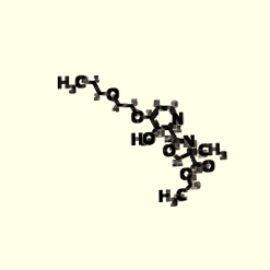 CCCOCCOc1ccnc(C2=N[C@@](C)(C(=O)OCC)CO2)c1O